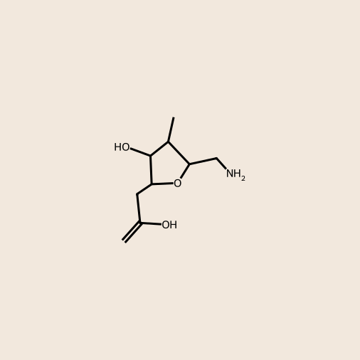 C=C(O)CC1OC(CN)C(C)C1O